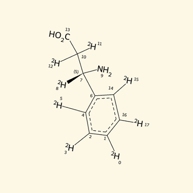 [2H]c1c([2H])c([2H])c([C@@]([2H])(N)C([2H])([2H])C(=O)O)c([2H])c1[2H]